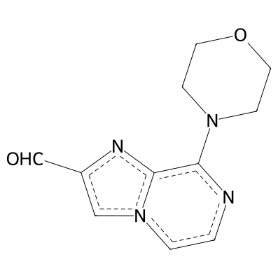 O=Cc1cn2ccnc(N3CCOCC3)c2n1